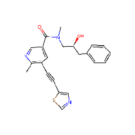 Cc1ncc(C(=O)N(C)C[C@@H](O)Cc2ccccc2)cc1C#Cc1cncs1